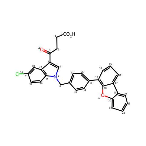 O=C(O)CCC(=O)c1cn(Cc2ccc(-c3cccc4c3oc3ccccc34)cc2)c2ccc(Cl)cc12